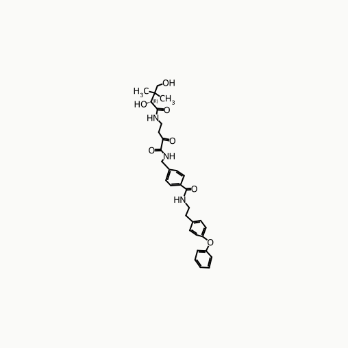 CC(C)(CO)[C@@H](O)C(=O)NCCC(=O)C(=O)NCc1ccc(C(=O)NCCc2ccc(Oc3ccccc3)cc2)cc1